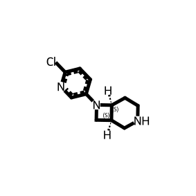 Clc1ccc(N2C[C@@H]3CNCC[C@@H]32)cn1